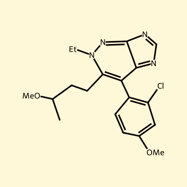 CCn1nc2ncnc-2c(-c2ccc(OC)cc2Cl)c1CCC(C)OC